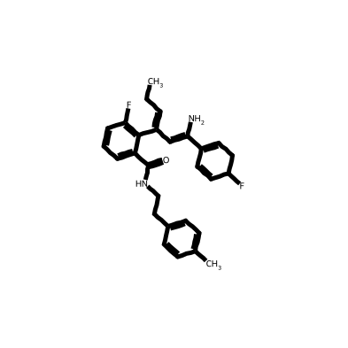 CC/C=C(/C=C(\N)C1=CCC(F)C=C1)c1c(F)cccc1C(=O)NCCc1ccc(C)cc1